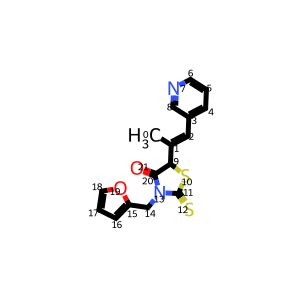 C/C(=C\c1cccnc1)C1SC(=S)N(Cc2ccco2)C1=O